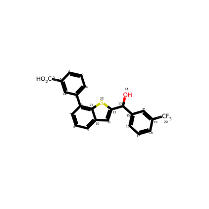 O=C(O)c1cccc(-c2cccc3cc(C(O)c4cccc(C(F)(F)F)c4)sc23)c1